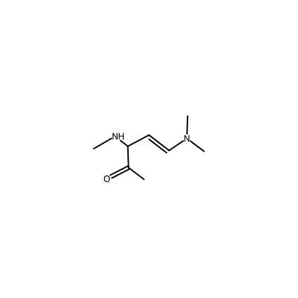 CNC(C=CN(C)C)C(C)=O